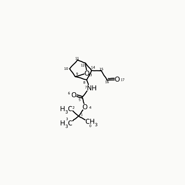 CC(C)(C)OC(=O)NC1C2CCC(O2)C1CC=O